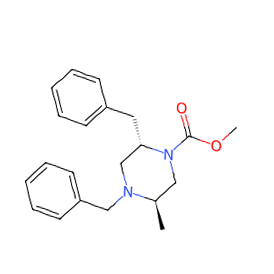 COC(=O)N1C[C@@H](C)N(Cc2ccccc2)C[C@@H]1Cc1ccccc1